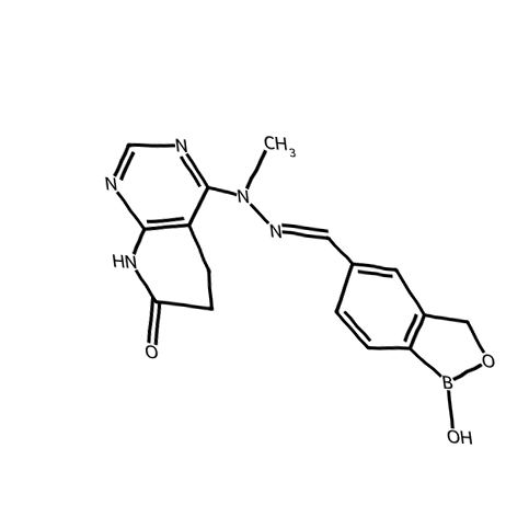 CN(/N=C/c1ccc2c(c1)COB2O)c1ncnc2c1CCC(=O)N2